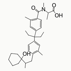 CCC(CC)(c1ccc(CC(C)C2(O)CCCCC2)c(C)c1)c1ccc(C(=O)N(C)C(C)C(=O)O)c(C)c1